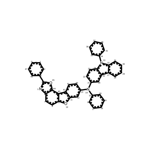 c1ccc(-c2nc3ccc4oc5cc(N(c6ccccc6)c6ccc7c(c6)c6ccccc6n7-c6ccccc6)ccc5c4c3o2)cc1